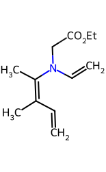 C=C/C(C)=C(/C)N(C=C)CC(=O)OCC